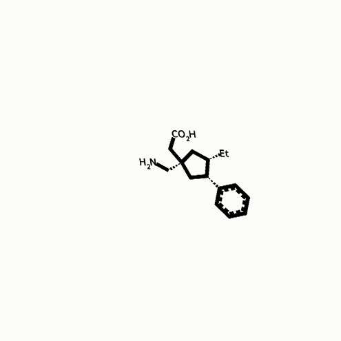 CC[C@H]1C[C@](CN)(CC(=O)O)C[C@H]1c1ccccc1